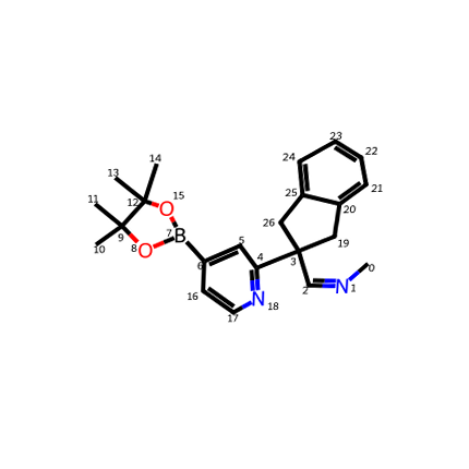 C/N=C\C1(c2cc(B3OC(C)(C)C(C)(C)O3)ccn2)Cc2ccccc2C1